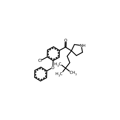 CC(C)(C)CCC1(C(=O)c2ccc(Cl)c(Oc3ccccc3)c2)CCNC1